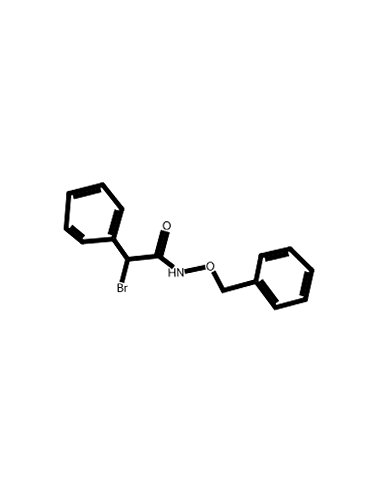 O=C(NOCc1ccccc1)C(Br)c1ccccc1